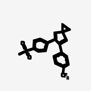 CS(=O)(=O)c1ccc(C2=CC3(C=C2c2ccc(C(F)(F)F)cc2)CC3)cc1